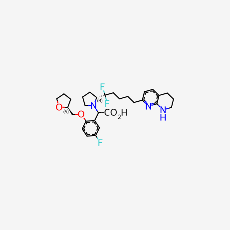 O=C(O)C(c1cc(F)ccc1OC[C@@H]1CCCO1)N1CCC[C@@H]1C(F)(F)CCCCc1ccc2c(n1)NCCC2